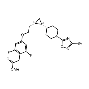 COC(=O)Cc1c(F)cc(OCC[C@@H]2C[C@@H]2C2CCN(c3nc(C(C)C)no3)CC2)cc1F